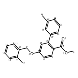 COC(=O)c1ccc(OCc2ncccc2C)cc1-c1cccc(C)c1